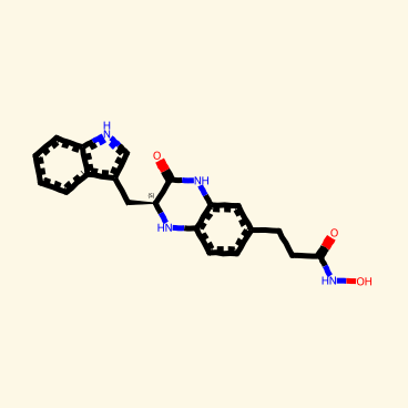 O=C(CCc1ccc2c(c1)NC(=O)[C@H](Cc1c[nH]c3ccccc13)N2)NO